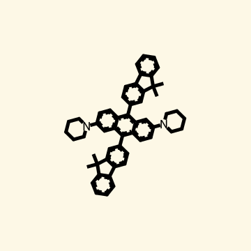 CC1(C)c2ccccc2-c2ccc(-c3c4ccc(N5CCCCC5)cc4c(-c4ccc5c(c4)C(C)(C)c4ccccc4-5)c4ccc(N5CCCCC5)cc34)cc21